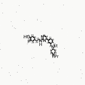 CCCN1CCC(N(CC)Cc2cccc(-c3ccnc(NCCc4ccc(O)c(F)c4)n3)c2)CC1